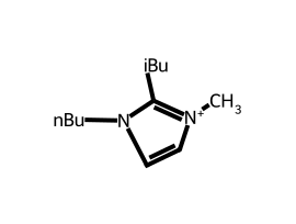 CCCCn1cc[n+](C)c1C(C)CC